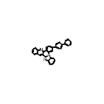 c1ccc(-c2ccc(-c3ccc4c5nc6ccccc6cc5c5nc6ccccc6n5c4c3)cc2)cc1